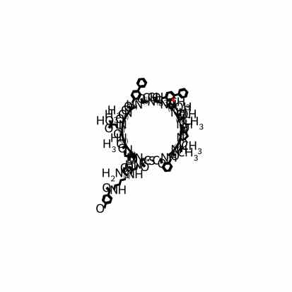 CC(C)[C@@H]1NC(=O)[C@H](Cc2ccccc2)NC(=O)CSC[C@@H](C(=O)NCC(=O)N[C@@H](CCCCNC(=O)c2ccc(C=O)cc2)C(N)=O)NC(=O)[C@@H]2CCCN2C(=O)[C@H](C)NC(=O)[C@H](CCC(=O)O)NC(=O)[C@H](C)N(C)C(=O)[C@H](Cc2ccc(-c3ccccc3)cc2)NC(=O)[C@H](C)N(C)C(=O)[C@H](Cc2ccc(-c3ccccc3)cc2)NC(=O)[C@H]([C@@H](C)O)NC(=O)[C@H]([C@@H](C)O)NC(=O)[C@@H]2CCCN2C1=O